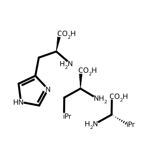 CC(C)C[C@H](N)C(=O)O.CC(C)[C@H](N)C(=O)O.N[C@@H](Cc1c[nH]cn1)C(=O)O